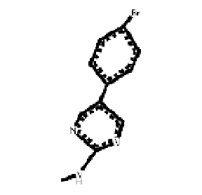 CNc1ncc(-c2ccc(Br)cc2)cn1